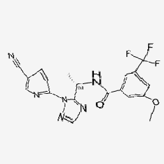 COc1cc(C(=O)N[C@@H](C)c2ncnn2-c2ccc(C#N)cn2)cc(C(F)(F)F)c1